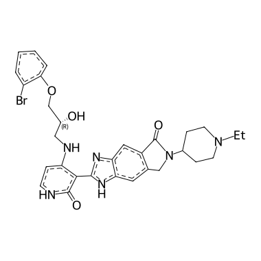 CCN1CCC(N2Cc3cc4[nH]c(-c5c(NC[C@@H](O)COc6ccccc6Br)cc[nH]c5=O)nc4cc3C2=O)CC1